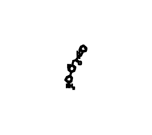 Nc1ccc(-c2ccc(CC(=O)NCc3ccccc3)nc2)cc1